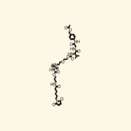 CC(=O)OCc1ccc(NC(=O)CNC(=O)C(NC(=O)OCCOCCNS(=O)(=O)NC(=O)OCCCNC(=O)CCCCCN2C(=O)C=CC2=O)C(C)C)cc1